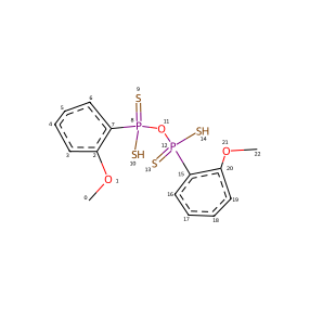 COc1ccccc1P(=S)(S)OP(=S)(S)c1ccccc1OC